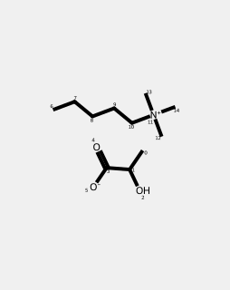 CC(O)C(=O)[O-].CCCCC[N+](C)(C)C